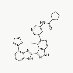 O=C(Nc1cncc(-c2ncc3[nH]nc(-c4nc5c(-c6cccs6)cccc5[nH]4)c3c2F)c1)C1CCCC1